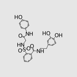 O=C(CNS(=O)(=O)c1ccccc1C(=O)NCCc1ccc(O)c(O)c1)Nc1ccc(O)cc1